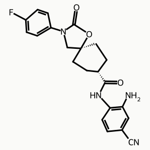 N#Cc1ccc(NC(=O)[C@H]2CC[C@]3(CC2)CN(c2ccc(F)cc2)C(=O)O3)c(N)c1